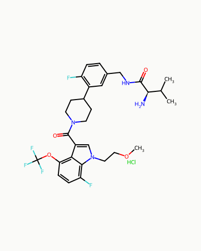 COCCn1cc(C(=O)N2CCC(c3cc(CNC(=O)[C@H](N)C(C)C)ccc3F)CC2)c2c(OC(F)(F)F)ccc(F)c21.Cl